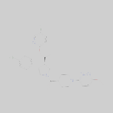 COc1ccc(N2CCC(C(=O)N3C[C@H](c4ccc(Cl)cc4)[C@@H](C(C)Oc4ccc(Cl)cn4)C3)CC2)nn1